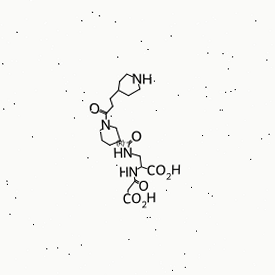 O=C(O)CC(=O)NC(CNC(=O)[C@@H]1CCCN(C(=O)CCC2CCNCC2)C1)C(=O)O